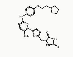 Cc1cnc(Nc2ccc(OCCN3CCCC3)cc2)nc1-c1ccc(/C=C2/NC(=O)NC2=O)s1